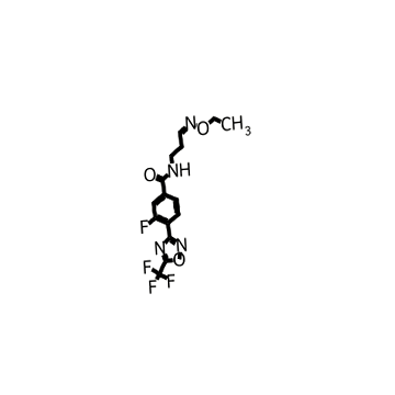 CCO/N=C\CCNC(=O)c1ccc(-c2noc(C(F)(F)F)n2)c(F)c1